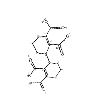 O=C(O)C1=C(C(=O)O)C(C2CCCC(C(=O)O)=C2C(=O)O)CCC1